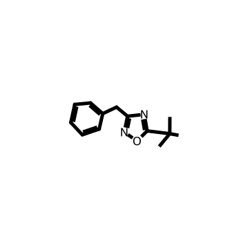 CC(C)(C)c1nc(Cc2ccccc2)no1